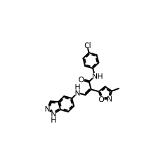 Cc1cc(C(=CNc2ccc3[nH]ncc3c2)C(=O)Nc2ccc(Cl)cc2)on1